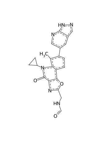 Cc1c(-c2cnc3[nH]ncc3c2)ccc2c3oc(CNC=O)nc3c(=O)n(C3CC3)c12